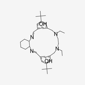 CCN1CCN(CC)Cc2cc(C(C)(C)C)cc(c2O)/C=N/C2CCCCC2/N=C/c2cc(C(C)(C)C)cc(c2O)C1